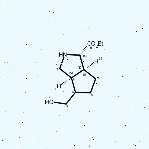 CCOC(=O)[C@H]1NC[C@@H]2C(CO)CC[C@H]12